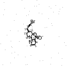 O=[N+]([O-])c1cccnc1N1CCC(=CC#CBr)CC1